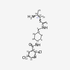 C=C(NC[C@H]1CC[C@H](NC(=O)c2cc(Cl)cnc2Cl)CC1)S/C(C)=C(/C)N